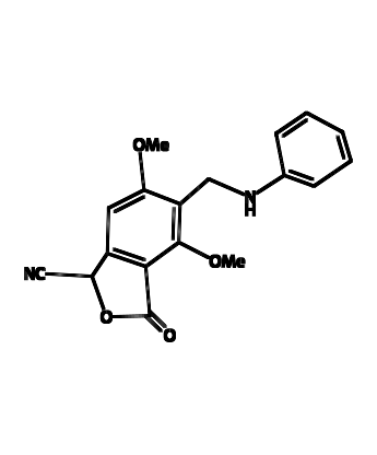 COc1cc2c(c(OC)c1CNc1ccccc1)C(=O)OC2C#N